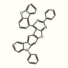 c1ccc(-c2nc(-c3cccc4oc5ccccc5c34)c3c(n2)oc2cc4c(cc23)c2ccccc2n4-c2ccccc2)cc1